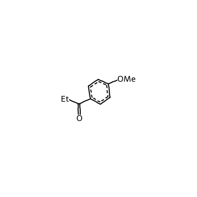 [CH2]CC(=O)c1ccc(OC)cc1